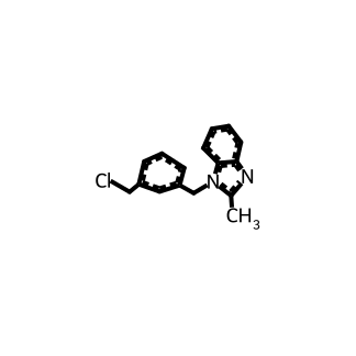 Cc1nc2ccccc2n1Cc1cccc(CCl)c1